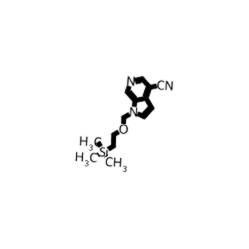 C[Si](C)(C)CCOCn1ccc2c(C#N)cncc21